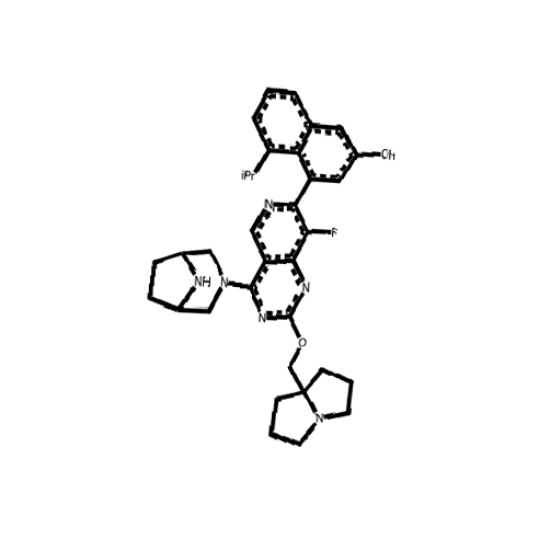 CC(C)c1cccc2cc(O)cc(-c3ncc4c(N5CC6CCC(C5)N6)nc(OCC56CCCN5CCC6)nc4c3F)c12